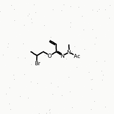 C=C/C(=N\N(C)C(C)=O)OCC(C)Br